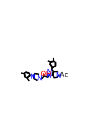 CC(=O)N1CCc2c(c(-c3ccc(C)c(C)c3)nn2CC(O)CN2CCN(c3ccc(C)cc3C)CC2)C1